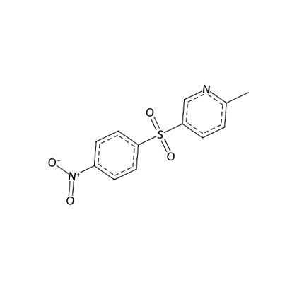 Cc1ccc(S(=O)(=O)c2ccc([N+](=O)[O-])cc2)cn1